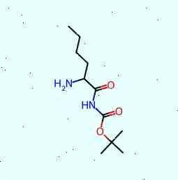 CCCCC(N)C(=O)NC(=O)OC(C)(C)C